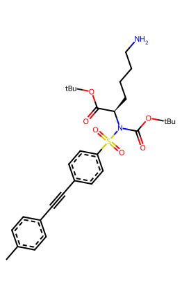 Cc1ccc(C#Cc2ccc(S(=O)(=O)N(C(=O)OC(C)(C)C)[C@H](CCCCN)C(=O)OC(C)(C)C)cc2)cc1